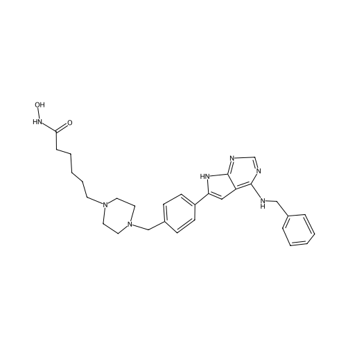 O=C(CCCCCN1CCN(Cc2ccc(-c3cc4c(NCc5ccccc5)ncnc4[nH]3)cc2)CC1)NO